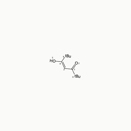 CC(C)(C)C(=O)/C=C(/O)C(C)(C)C